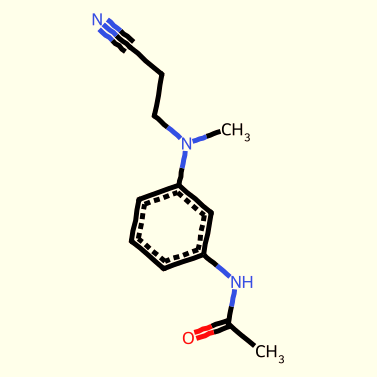 CC(=O)Nc1cccc(N(C)CCC#N)c1